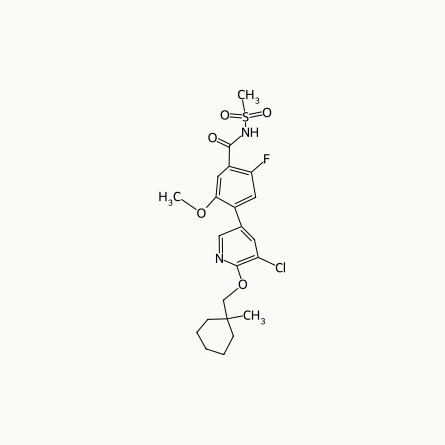 COc1cc(C(=O)NS(C)(=O)=O)c(F)cc1-c1cnc(OCC2(C)CCCCC2)c(Cl)c1